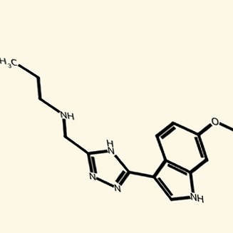 CCCNCc1nnc(-c2c[nH]c3cc(OC)ccc23)[nH]1